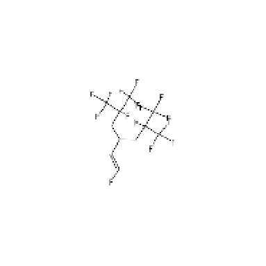 FC=CC(CC(F)(C(F)(F)F)C(F)(F)F)CC(F)(C(F)(F)F)C(F)(F)F